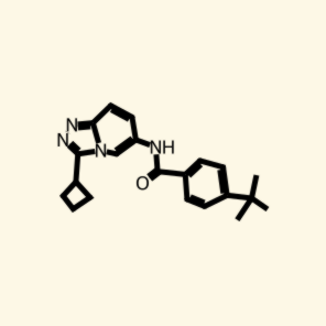 CC(C)(C)c1ccc(C(=O)Nc2ccc3nnc(C4CCC4)n3c2)cc1